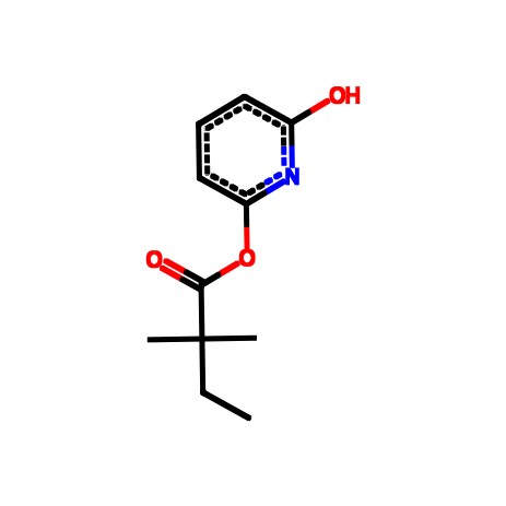 CCC(C)(C)C(=O)Oc1cccc(O)n1